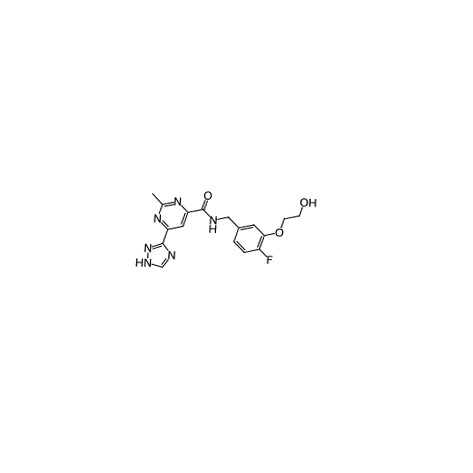 Cc1nc(C(=O)NCc2ccc(F)c(OCCO)c2)cc(-c2nc[nH]n2)n1